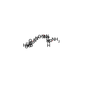 CCCC(C(=O)NC=O)N1C(=O)c2ccc(N3CCN(CCOCCN4C(C)CN(c5cc(-c6n[nH]c7ccc(N)cc67)ccn5)CC4C)CC3)cc2C1=O